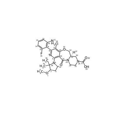 COC1CCN(c2nc(-c3c(N)cccc3F)c(Cl)c3c2C(=O)N2CCN(C(=O)O)C[C@@H]2CO3)C1(C)C